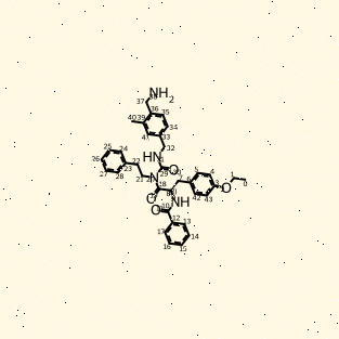 CCOc1ccc(C[C@@H](NC(=O)c2ccccc2)C(=O)N(CCc2ccccc2)C(=O)NCc2ccc(CN)c(C)c2)cc1